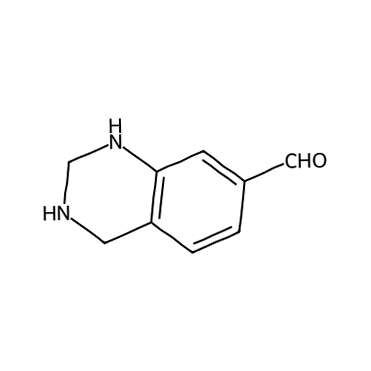 O=Cc1ccc2c(c1)NCNC2